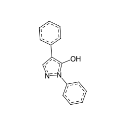 Oc1c(-c2ccccc2)cnn1-c1ccccc1